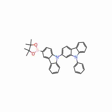 CC1(C)OB(c2ccc3c(c2)c2ccccc2n3-c2ccc3c4ccccc4n(-c4ccccc4)c3c2)OC1(C)C